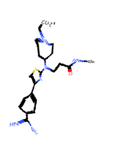 CC(C)(C)NC(=O)CCN(c1nc(-c2ccc(C(=N)N)cc2)cs1)C1CCN(CC(=O)O)CC1